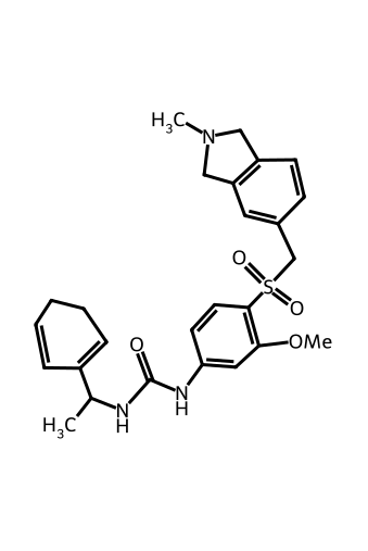 COc1cc(NC(=O)NC(C)C2=CCCC=C2)ccc1S(=O)(=O)Cc1ccc2c(c1)CN(C)C2